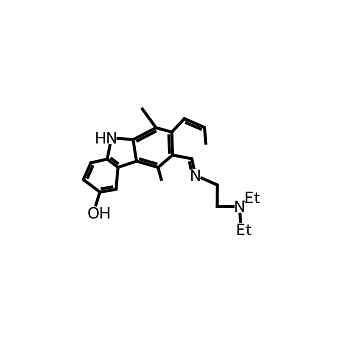 C/C=C\c1c(/C=N/CCN(CC)CC)c(C)c2c([nH]c3ccc(O)cc32)c1C